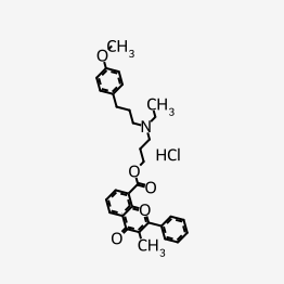 CCN(CCCOC(=O)c1cccc2c(=O)c(C)c(-c3ccccc3)oc12)CCCc1ccc(OC)cc1.Cl